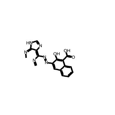 C=NC(/N=N/c1cc2ccccc2c(C(=O)O)c1O)=C1/N=CN/C1=N/C